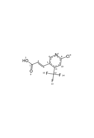 O=C(O)C=Cc1cnc(Cl)cc1C(F)(F)F